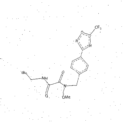 CON(Cc1ccc(-c2noc(C(F)(F)F)n2)cc1)C(=O)C(=O)NCC(C)(C)C